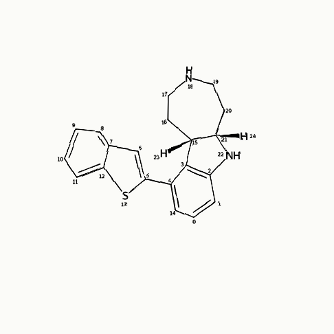 c1cc2c(c(-c3cc4ccccc4s3)c1)[C@@H]1CCNCC[C@@H]1N2